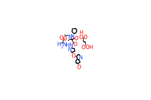 COc1ccc2c(Oc3ccc(NC(=O)c4c(C)n(CC(C)OC(=O)C(C)N)n(-c5ccccc5)c4=O)nc3)ccnc2c1.O=C(O)C=CC(=O)O